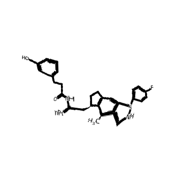 CCCC(C[C@H]1CCC2=C1[C@@H](C)C1=CNN(c3ccc(F)cc3)C1=C2)NC(=O)CCc1cccc(O)c1